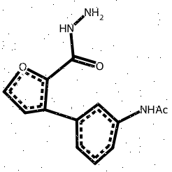 CC(=O)Nc1cccc(-c2ccoc2C(=O)NN)c1